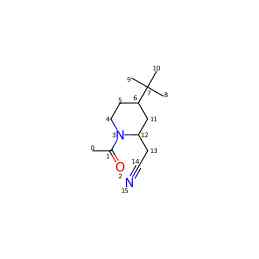 CC(=O)N1CCC(C(C)(C)C)CC1CC#N